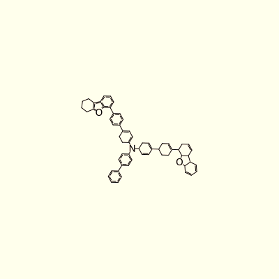 C1=CC2OC3C(C4=CCC(C5=CCC(N(C6=CC=C(c7ccc(-c8cccc9c%10c(oc89)CCCC%10)cc7)CC6)c6ccc(-c7ccccc7)cc6)C=C5)CC4)CC=CC3C2C=C1